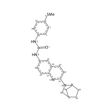 CSc1ccc(NC(=O)Nc2ccc3nc(N4CC5CCC4C5)ccc3c2)cc1